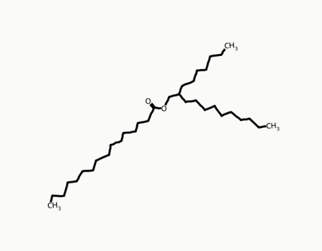 CCCCCCCCCCCCCCCC(=O)OCC(CCCCCCC)CCCCCCCCCC